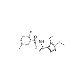 CCn1c(OC)nnc1[C@@H](C)NS(=O)(=O)c1cc(C)ccc1F